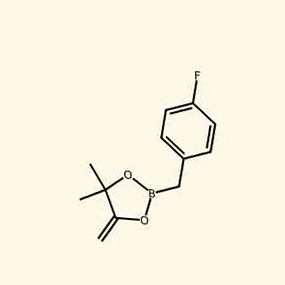 C=C1OB(Cc2ccc(F)cc2)OC1(C)C